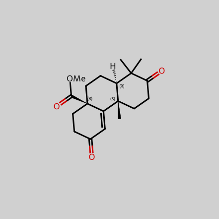 COC(=O)[C@]12CCC(=O)C=C1[C@@]1(C)CCC(=O)C(C)(C)[C@@H]1CC2